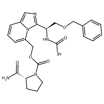 CC(C)C(=O)N[C@H](COCc1ccccc1)c1ncc2cccc(COC(=O)N3CCC[C@@H]3C(N)=O)n12